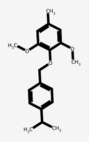 COc1cc(C)cc(OC)c1OCc1ccc(C(C)C)cc1